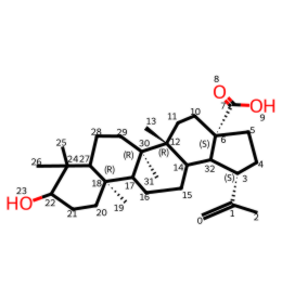 C=C(C)[C@H]1CC[C@]2(C(=O)O)CC[C@]3(C)C(CCC4[C@@]5(C)CCC(O)C(C)(C)C5CC[C@]43C)C12